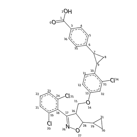 O=C(O)c1ccc(C2CC2c2ccc(OCC3C(c4c(Cl)cccc4Cl)=NOC3C3CC3)cc2Cl)cc1